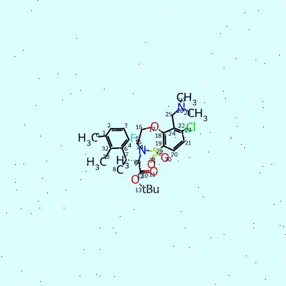 Cc1ccc(F)c(C(C)[C@@H](C(=O)OC(C)(C)C)N2CCOc3c(ccc(Cl)c3CN(C)C)S2(=O)=O)c1C